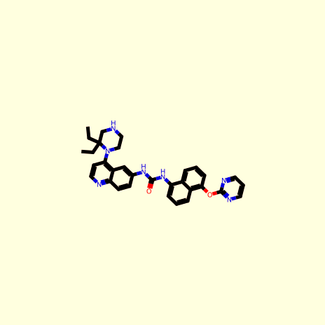 CCC1(CC)CNCCN1c1ccnc2ccc(NC(=O)Nc3cccc4c(Oc5ncccn5)cccc34)cc12